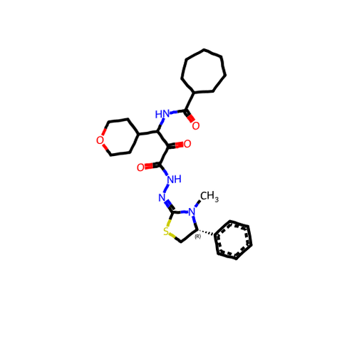 CN1C(=NNC(=O)C(=O)C(NC(=O)C2CCCCCC2)C2CCOCC2)SC[C@H]1c1ccccc1